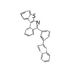 c1cc(-c2ccc3ccccc3c2)cc(-c2nc3sc4ccccc4c3c3ccccc23)c1